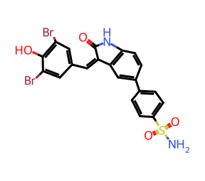 NS(=O)(=O)c1ccc(-c2ccc3c(c2)C(=Cc2cc(Br)c(O)c(Br)c2)C(=O)N3)cc1